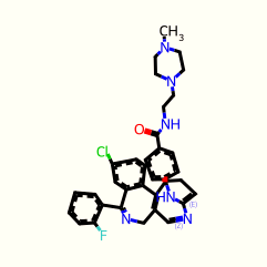 CN1CCN(CCNC(=O)c2ccc(NC3=C\CCC4=C(/C=N\3)CN=C(c3ccccc3F)c3cc(Cl)ccc34)cc2)CC1